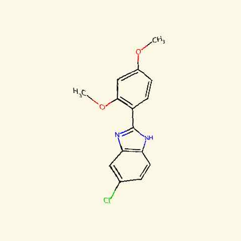 COc1ccc(-c2nc3cc(Cl)ccc3[nH]2)c(OC)c1